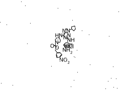 Cl.Cl.NC1CCC(Nc2nc(NC3CCN(C(=O)OCc4ccc([N+](=O)[O-])cc4)CC3)c3ncn(C4CCCC4)c3n2)CC1